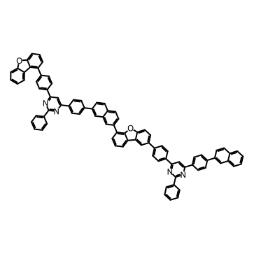 c1ccc(-c2nc(-c3ccc(-c4ccc5ccccc5c4)cc3)cc(-c3ccc(-c4ccc5oc6c(-c7ccc8ccc(-c9ccc(-c%10cc(-c%11ccc(-c%12cccc%13oc%14ccccc%14c%12%13)cc%11)nc(-c%11ccccc%11)n%10)cc9)cc8c7)cccc6c5c4)cc3)n2)cc1